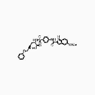 COC(=O)C(CC#CCOc1ccccc1)NS(=O)(=O)c1ccc(NC(=O)c2cc3cc(OC)ccc3[nH]2)cc1